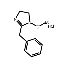 CCON1CCN=C1Cc1ccccc1.Cl